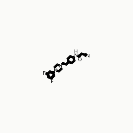 N#CCC(=O)NC1CCC(CCN2CCN(c3cc(F)cc(F)c3)CC2)CC1